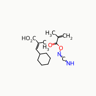 C=C(C)C(=O)ON=C=N.CC(=CC1CCCCC1)C(=O)O